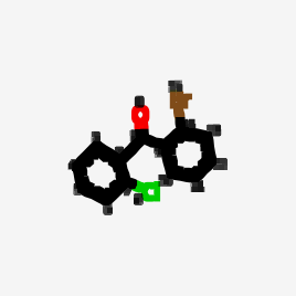 O=C(c1ccccc1Cl)c1ccccc1Br